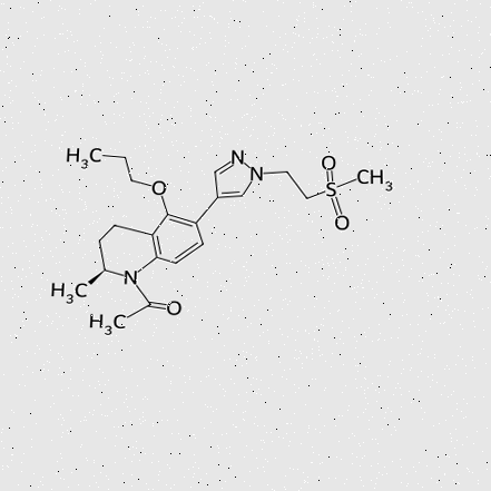 CCCOc1c(-c2cnn(CCS(C)(=O)=O)c2)ccc2c1CC[C@H](C)N2C(C)=O